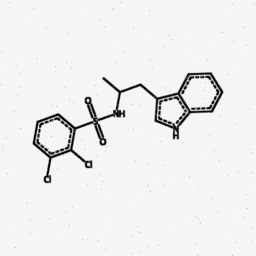 CC(Cc1c[nH]c2ccccc12)NS(=O)(=O)c1cccc(Cl)c1Cl